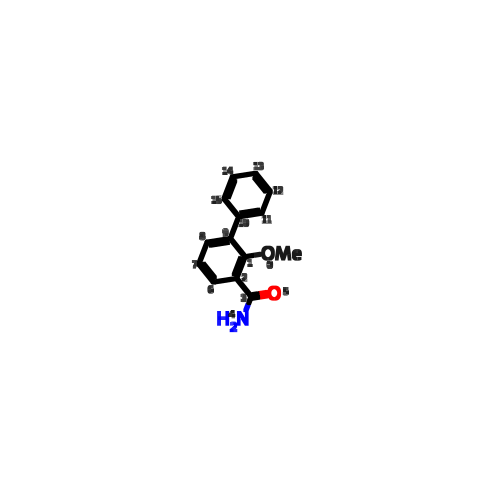 COc1c(C(N)=O)cccc1-c1ccccc1